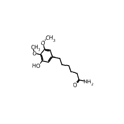 COc1cc(CCCCCC(N)=O)cc(O)c1OC